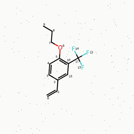 C=[C]c1ccc(OCCC)c(C(F)(F)F)c1